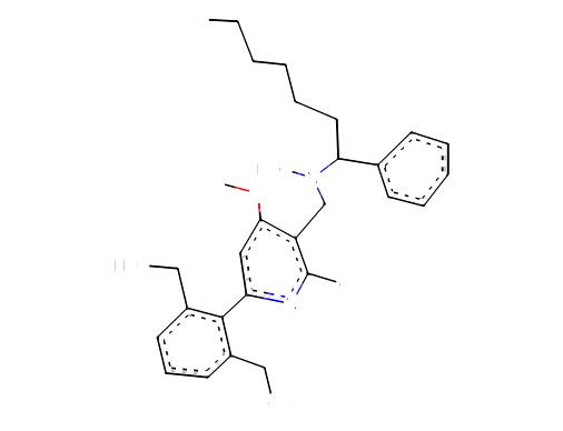 CCCCCCC(c1ccccc1)N(C)Cc1c(OC)cc(-c2c(CC)cccc2CC)nc1C